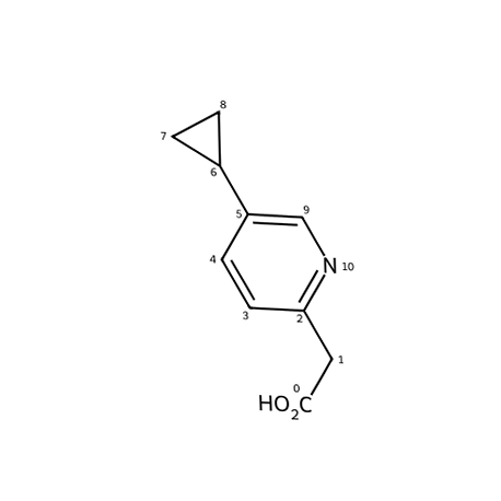 O=C(O)Cc1ccc(C2CC2)cn1